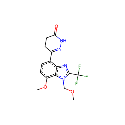 COCn1c(C(F)(F)F)nc2c(C3=NNC(=O)CC3)ccc(OC)c21